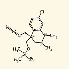 C[C@@H]1c2cc(Cl)ccc2[C@@](CN=[N+]=[N-])(CO[Si](C)(C)C(C)(C)C)C[C@@H]1C